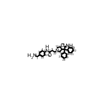 NCc1ccc(NC(=O)CCN2CCC(C(C(N)=O)(c3ccccc3)c3ccccc3)C2)cc1